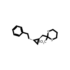 CCOC(=O)C1(C[C@H]2C[C@@H]2CCc2ccccc2)SCCCS1